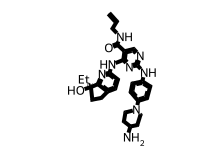 C=CCNC(=O)c1cnc(Nc2ccc(N3CCC(N)CC3)cc2)nc1Nc1ccc2c(n1)[C@@](O)(CC)CC2